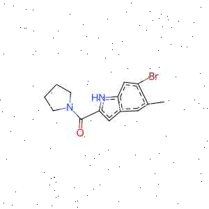 Cc1cc2cc(C(=O)N3CCCC3)[nH]c2cc1Br